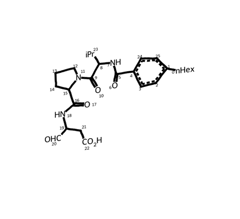 CCCCCCc1ccc(C(=O)NC(C(=O)N2CCCC2C(=O)NC(C=O)CC(=O)O)C(C)C)cc1